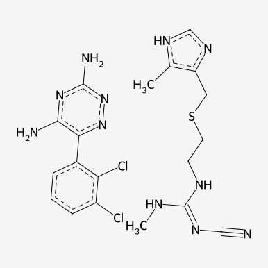 CN/C(=N/C#N)NCCSCc1nc[nH]c1C.Nc1nnc(-c2cccc(Cl)c2Cl)c(N)n1